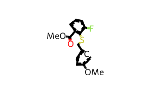 COC(=O)c1cccc(F)c1SCc1ccc(OC)cc1